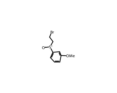 COc1cccc([S+]([O-])CCBr)c1